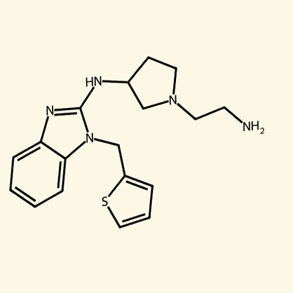 NCCN1CCC(Nc2nc3ccccc3n2Cc2cccs2)C1